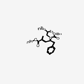 CCCCC(CC)CN(C(=O)OCC(C)C)C(Cc1ccccc1)CC(C)C(=O)OCCC